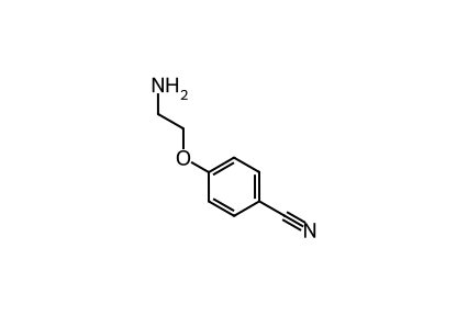 N#Cc1ccc(OCCN)cc1